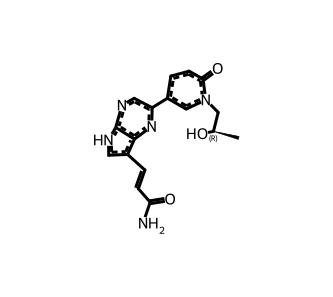 C[C@@H](O)Cn1cc(-c2cnc3[nH]cc(C=CC(N)=O)c3n2)ccc1=O